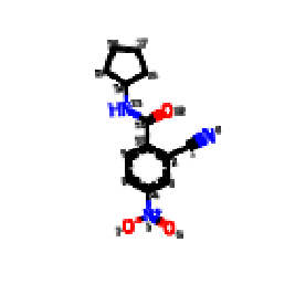 N#Cc1cc([N+](=O)[O-])ccc1C(=O)NC1CCCC1